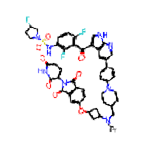 CC(C)N(CC1CCN(c2ccc(-c3cnc4[nH]cc(C(=O)c5c(F)ccc(NS(=O)(=O)N6CC[C@@H](F)C6)c5F)c4c3)cc2)CC1)C1CC(Oc2ccc3c(c2)C(=O)N(C2CCC(=O)NC2=O)C3=O)C1